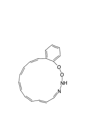 C1=C\C=C/C=C/C=N\NOOc2ccccc2/C=C\C=C/1